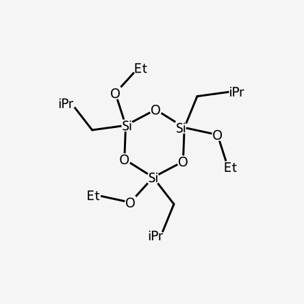 CCO[Si]1(CC(C)C)O[Si](CC(C)C)(OCC)O[Si](CC(C)C)(OCC)O1